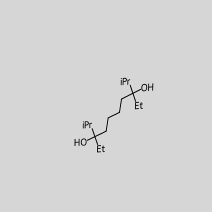 CCC(O)(CCCCC(O)(CC)C(C)C)C(C)C